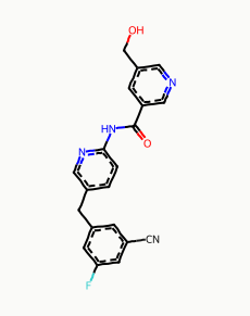 N#Cc1cc(F)cc(Cc2ccc(NC(=O)c3cncc(CO)c3)nc2)c1